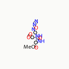 COC(=O)c1ccc2c(c1)NC(=O)/C2=C(\Nc1ccc(N(C)C(=O)CN2CCN(C)CC2)cc1)c1ccc2c(c1)OC=CO2